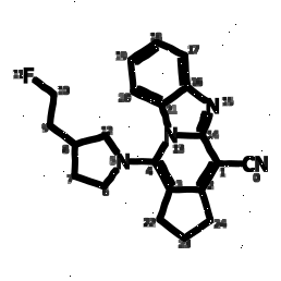 N#Cc1c2c(c(N3CCC(CCF)C3)n3c1nc1ccccc13)CCC2